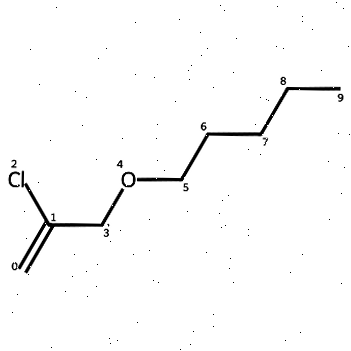 C=C(Cl)[CH]OCCCCC